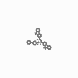 CC1(C2=NC(c3ccc4c(c3)C(C)(C)c3ccccc3-4)=CC(c3ccc4c(c3)C(C)(C)c3ccccc3-4)N2)C=CC(c2ccccc2)=CC1